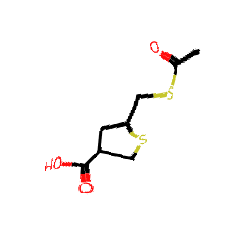 CC(=O)SCC1CC(C(=O)O)CS1